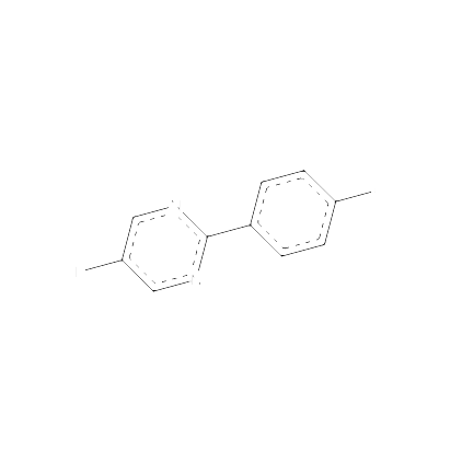 Fc1cnc(-c2c[c]c(Cl)cc2)nc1